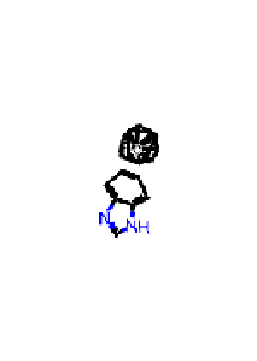 [CH]12[CH]3[CH]4[CH]5[CH]1[Fe]23451678[CH]2[CH]1[CH]6[CH]7[CH]28.c1ccc2[nH]cnc2c1